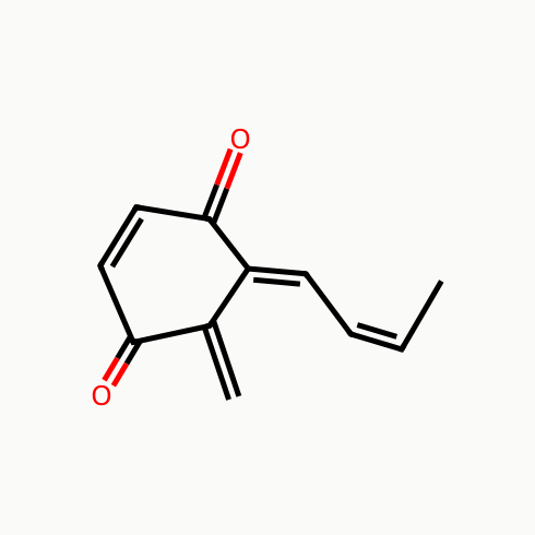 C=C1C(=O)C=CC(=O)/C1=C/C=C\C